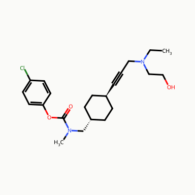 CCN(CC#C[C@H]1CC[C@H](CN(C)C(=O)Oc2ccc(Cl)cc2)CC1)CCO